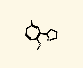 COC1=C(C2CCCN2)C=C(F)CC=C1